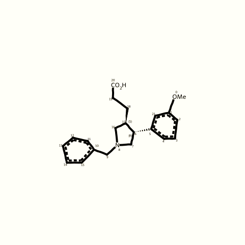 COc1cccc([C@@H]2CN(Cc3ccccc3)C[C@H]2CCC(=O)O)c1